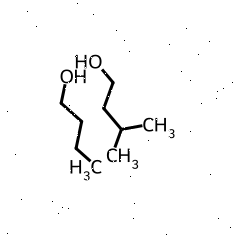 CC(C)CCO.CCCCO